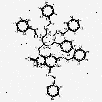 O=c1[nH]c2c(OCc3ccccc3)nc(OCc3ccccc3)nc2n1C[C@H](OCc1ccccc1)[C@H](OCc1ccccc1)[C@@H](COCc1ccccc1)OCc1ccccc1